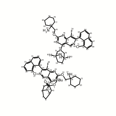 CCCCOC(=O)N1C2CCC1CN(c1nc(OCC3(N)CCCCC3)nc3c(F)c(-c4cccc5cccc(Cl)c45)ncc13)C2.NC1(COc2nc(N3C[C@H]4CC[C@@H](C3)N4)c3cnc(-c4cccc5cccc(Cl)c45)c(F)c3n2)CCCCC1